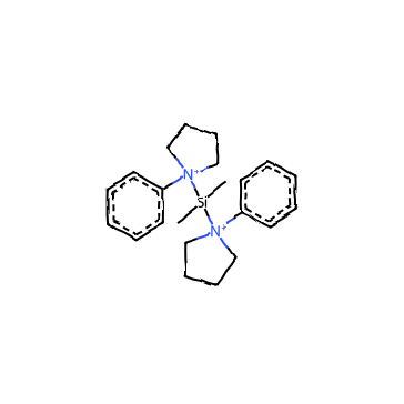 C[Si](C)([N+]1(c2ccccc2)CCCC1)[N+]1(c2ccccc2)CCCC1